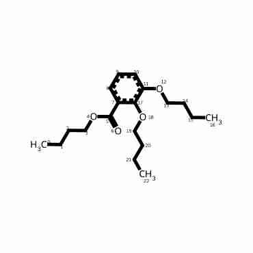 CCCCOC(=O)c1cccc(OCCCC)c1OCCCC